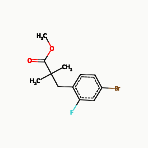 COC(=O)C(C)(C)Cc1ccc(Br)cc1F